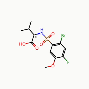 COc1cc(S(=O)(=O)N[C@@H](C(=O)O)C(C)C)c(Br)cc1F